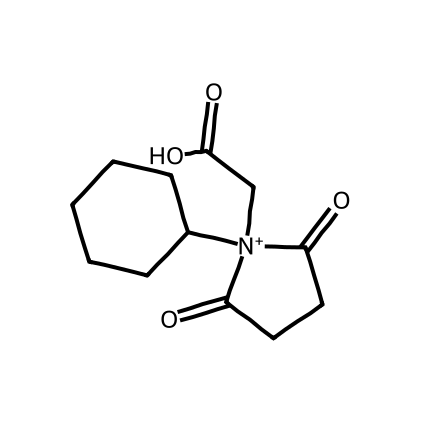 O=C(O)C[N+]1(C2CCCCC2)C(=O)CCC1=O